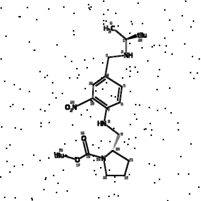 C[C@H](NCc1ccc(NC[C@@H]2CCCN2C(=O)OC(C)(C)C)c([N+](=O)[O-])c1)C(C)(C)C